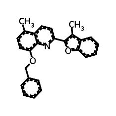 Cc1c(-c2ccc3c(C)ccc(OCc4ccccc4)c3n2)oc2ccccc12